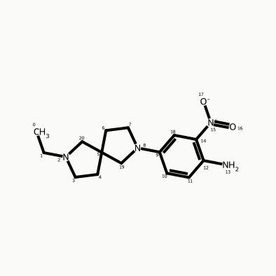 CCN1CCC2(CCN(c3ccc(N)c([N+](=O)[O-])c3)C2)C1